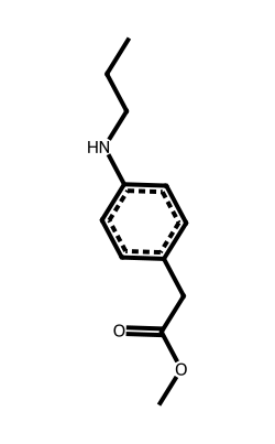 CCCNc1ccc(CC(=O)OC)cc1